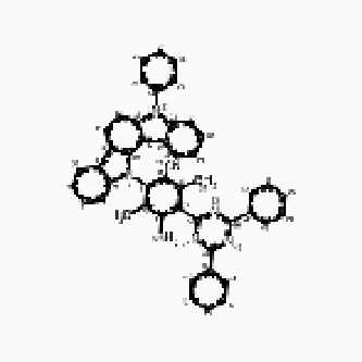 Bc1c(B)c(-n2c3ccccc3c3ccc4c(c5ccccc5n4-c4ccccc4)c32)c(C#N)c(B)c1-c1nc(-c2ccccc2)nc(-c2ccccc2)n1